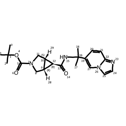 CC(C)(C)OC(=O)N1C[C@@H]2[C@H](C1)[C@H]2C(=O)NC(C)(C)c1ccc2nccn2c1